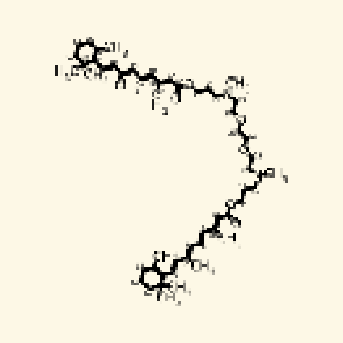 CC1=C(/C=C/C(C)=C/C=C/C(C)=C/C(=O)OCCCN(C)CCOCCOCCN(C)CCCOC(=O)/C=C(C)/C=C/C=C(C)/C=C/C2=C(C)CCCC2(C)C)C(C)(C)CCC1